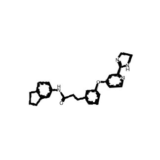 O=C(CCc1cccc(Oc2ccnc(C3=NCCN3)c2)c1)Nc1ccc2c(c1)CCC2